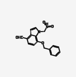 O=Cc1ccc(OCc2ccccc2)c2c1ccn2C[SH](=O)=O